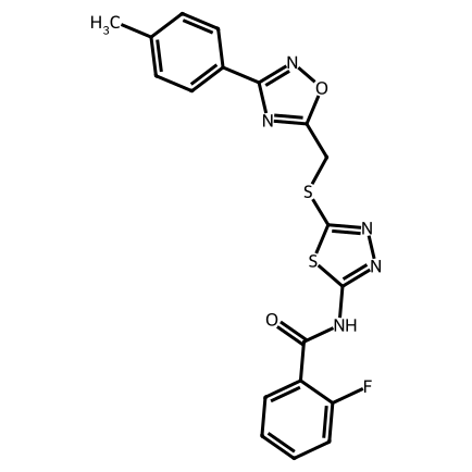 Cc1ccc(-c2noc(CSc3nnc(NC(=O)c4ccccc4F)s3)n2)cc1